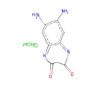 Cl.Cl.Nc1cc2c(cc1N)=NC(=O)C(=O)N=2